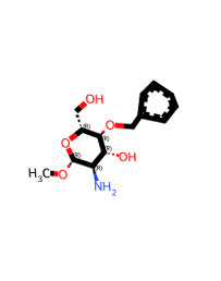 CO[C@@H]1O[C@H](CO)[C@H](OCc2ccccc2)[C@H](O)[C@H]1N